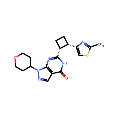 Cc1nc([C@H]2CC[C@H]2c2nc3c(cnn3C3CCOCC3)c(=O)[nH]2)cs1